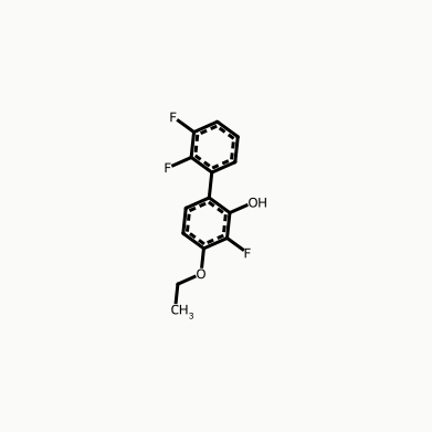 CCOc1ccc(-c2cccc(F)c2F)c(O)c1F